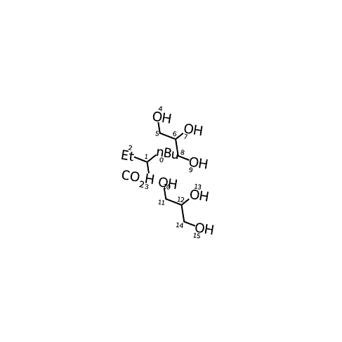 CCCCC(CC)C(=O)O.OCC(O)CO.OCC(O)CO